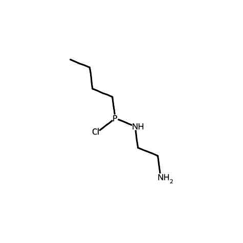 CCCCP(Cl)NCCN